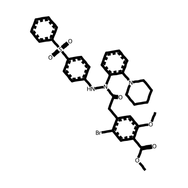 COC(=O)c1cc(Br)c(CC(=O)N(Nc2ccc(S(=O)(=O)c3ccccc3)cc2)c2ccccc2N2CCCCC2)cc1OC